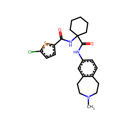 CN1CCc2ccc(NC(=O)C3(NC(=O)c4ccc(Cl)s4)CCCCC3)cc2CC1